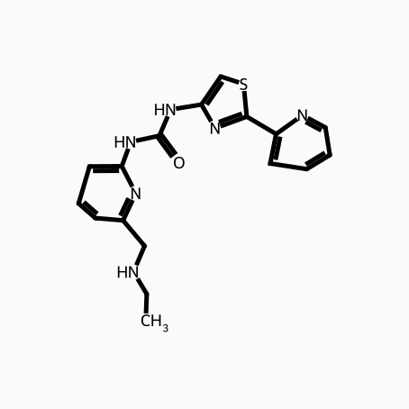 CCNCc1cccc(NC(=O)Nc2csc(-c3ccccn3)n2)n1